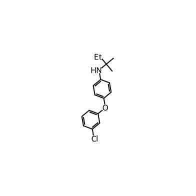 CCC(C)(C)Nc1ccc(Oc2cccc(Cl)c2)cc1